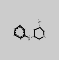 O[C@@H]1COC[C@H](Nc2ccccc2)C1